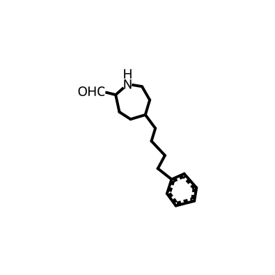 O=CC1CCC(CCCCc2ccccc2)CCN1